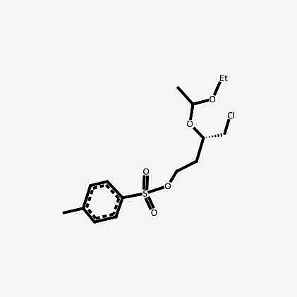 CCOC(C)O[C@H](CCl)CCOS(=O)(=O)c1ccc(C)cc1